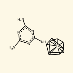 Nc1nc(N)nc(N)n1.[CH]12[CH]3[CH]4[CH]5[CH]1[Fe]23451678[CH]2[CH]1[CH]6[CH]7[CH]28